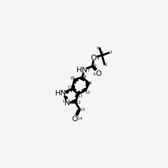 CC(C)(C)OC(=O)Nc1ccc2c(C=O)n[nH]c2c1